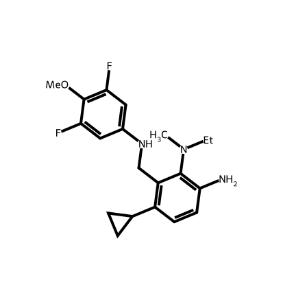 CCN(C)c1c(N)ccc(C2CC2)c1CNc1cc(F)c(OC)c(F)c1